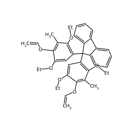 C=COc1c(OCC)cc(C2(c3cc(OCC)c(OC=C)c(C)c3OCC)c3ccccc3-c3ccccc32)c(OCC)c1C